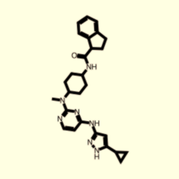 CN(c1nccc(Nc2cc(C3CC3)[nH]n2)n1)C1CCC(NC(=O)C2CCc3ccccc32)CC1